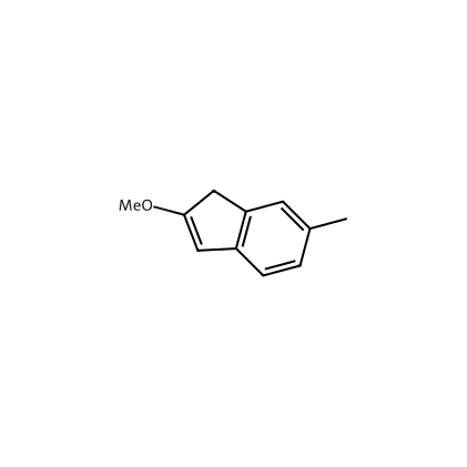 COC1=Cc2ccc(C)cc2C1